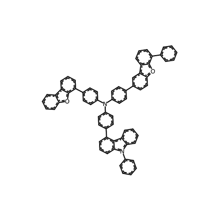 c1ccc(-c2cccc3c2oc2ccc(-c4ccc(N(c5ccc(-c6cccc7c6oc6ccccc67)cc5)c5ccc(-c6cccc7c6c6ccccc6n7-c6ccccc6)cc5)cc4)cc23)cc1